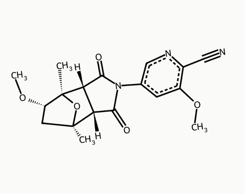 COc1cc(N2C(=O)[C@@H]3[C@H](C2=O)[C@@]2(C)C[C@H](OC)[C@]3(C)O2)cnc1C#N